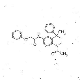 CC(=O)N1CCC(C)(c2ccccc2)c2cc(NC(=O)COc3ccccc3)ccc21